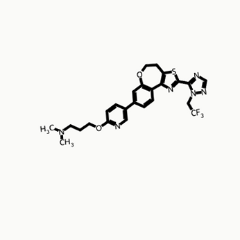 CN(C)CCCOc1ccc(-c2ccc3c(c2)OCCc2sc(-c4ncnn4CC(F)(F)F)nc2-3)cn1